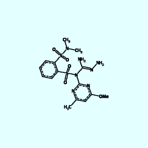 COc1cc(C)nc(N(C(N)=NN)S(=O)(=O)c2ccccc2S(=O)(=O)N(C)C)n1